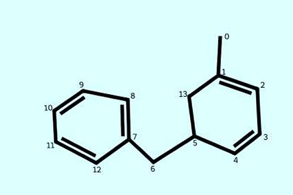 CC1=CC=CC(Cc2ccccc2)C1